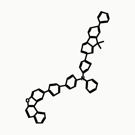 CC1(C)c2cc(-c3ccccc3)ccc2-c2ccc(-c3ccc(N(c4ccccc4)c4ccc(-c5ccc(-c6ccc7oc8ccc9ccccc9c8c7c6)cc5)cc4)cc3)cc21